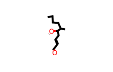 CCCCC(C)C(CC=CC=O)OC